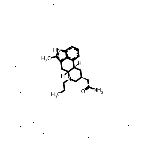 CCCN1C[C@H](CC(N)=O)C[C@@H]2c3cccc4[nH]c(C)c(c34)C[C@H]21